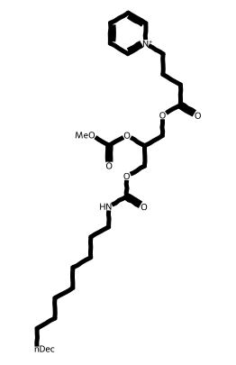 CCCCCCCCCCCCCCCCCCNC(=O)OCC(COC(=O)CCC[n+]1ccccc1)OC(=O)OC